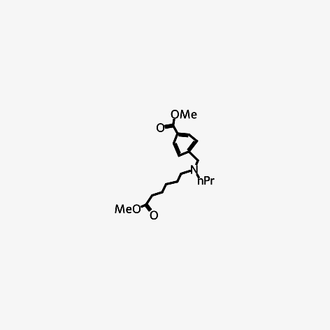 CCCN(CCCCCC(=O)OC)Cc1ccc(C(=O)OC)cc1